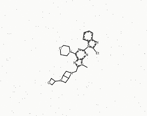 CCc1nc2ccccc2n1-c1nc(N2CCOCC2)c2nc(CN3CC4C3CN4C3COC3)n(C)c2n1